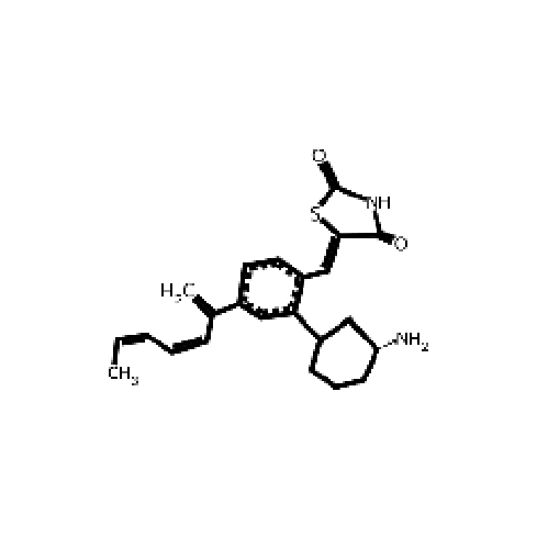 C=C(/C=C\C=C/C)c1ccc(/C=C2\SC(=O)NC2=O)c(C2CCC[C@@H](N)C2)c1